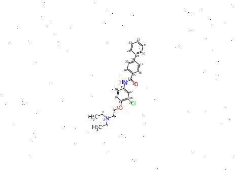 CCN(CC)CCOc1ccc(NC(=O)c2ccc(-c3ccccc3)cc2)cc1Cl